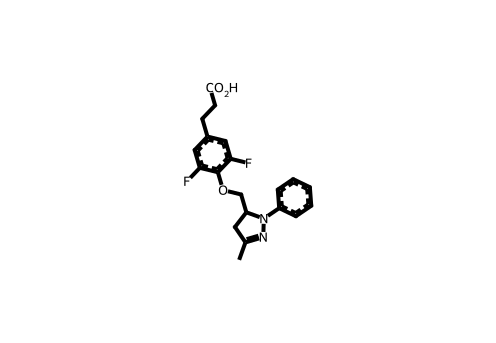 CC1=NN(c2ccccc2)C(COc2c(F)cc(CCC(=O)O)cc2F)C1